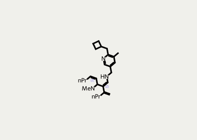 C=C(CCC)/C(=C/NCc1cnc(CC2CCC2)c(C)c1)C(/C=C\CCC)NC